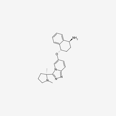 CN1CCC[C@@]1(C)c1nnc2ccc(O[C@H]3CC[C@H](N)c4ccccc43)cn12